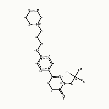 O=C1CCC(c2ccc(OCCCN3CCCCC3)cc2)=NN1CC(F)(F)F